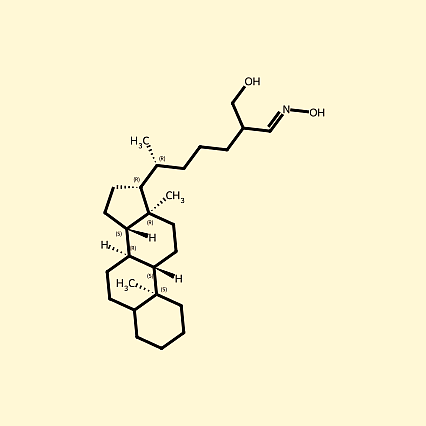 C[C@H](CCCC(C=NO)CO)[C@H]1CC[C@H]2[C@@H]3CCC4CCCC[C@]4(C)[C@H]3CC[C@]12C